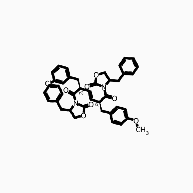 COc1ccc(C[C@@H](C=C[C@H](Cc2cccc(Cl)c2)C(=O)N2C(=O)OCC2Cc2ccccc2)C(=O)N2C(=O)OCC2Cc2ccccc2)cc1